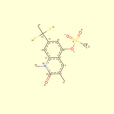 Cc1cc2c(OS(=O)(=O)C(F)(F)F)cc(C(C)(F)F)cc2n(C)c1=O